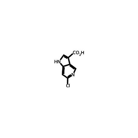 O=C(O)c1c[nH]c2cc(Cl)ncc12